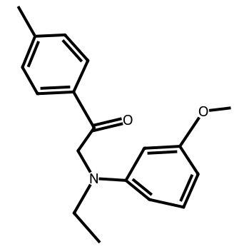 CCN(CC(=O)c1ccc(C)cc1)c1cccc(OC)c1